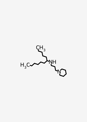 CCCCCCC(CCCCC)NCCCN1CCCCC1